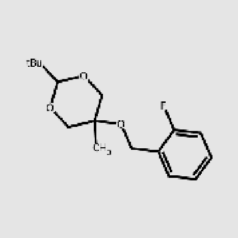 CC1(OCc2ccccc2F)COC(C(C)(C)C)OC1